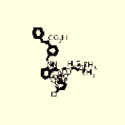 COc1cccc2c1c(N(COCC[Si](C)(C)C)S(=O)(=O)c1ccc(Cl)s1)nn2Cc1cccc(C(Cc2ccccc2)C(=O)O)c1